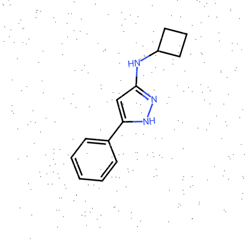 c1ccc(-c2cc(NC3CCC3)n[nH]2)cc1